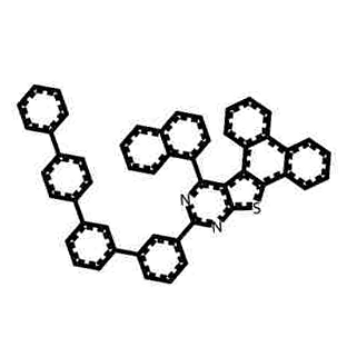 c1ccc(-c2ccc(-c3cccc(-c4cccc(-c5nc(-c6cccc7ccccc67)c6c(n5)sc5c7ccccc7c7ccccc7c56)c4)c3)cc2)cc1